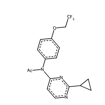 CC(=O)N(c1ccc(OCC(F)(F)F)cc1)c1ccnc(C2CC2)n1